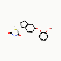 O=C1NC(=O)C([C@@H]2CCC3=C2C=CC(Oc2ccccc2OC(F)(F)F)C3)S1